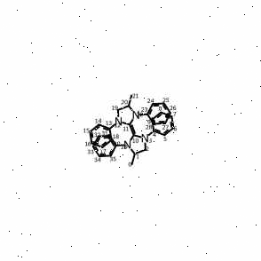 CC1CN(c2ccccc2)/C(=C2/N(c3ccccc3)CC(C)N2c2ccccc2)N1c1ccccc1